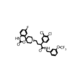 O=C1Nc2ccc(F)cc2C2(CCN(CCC(C(=O)NCc3cccc(OC(F)(F)F)c3)c3ccc(Cl)c(Cl)c3)CC2)O1